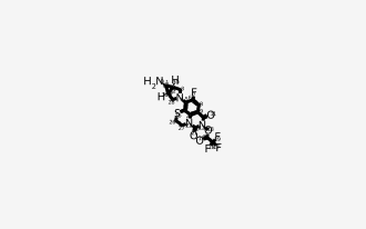 N[C@@H]1[C@H]2CN(c3c(F)cc4c(=O)n(OC(=O)C(F)(F)F)c(=O)n5c4c3SCC5)C[C@@H]12